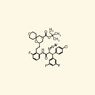 CC(C)(C)OC(=O)N1C[C@@H](CCc2c(F)cccc2NC(=O)[C@@H](N=[N+]=[N-])[C@@H](c2ccc(Cl)cc2)c2cc(F)cc(F)c2)OC2(CCOCC2)C1